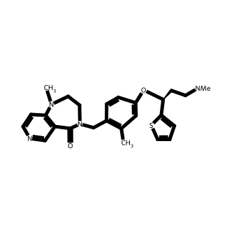 CNCC[C@H](Oc1ccc(CN2CCN(C)c3ccncc3C2=O)c(C)c1)c1cccs1